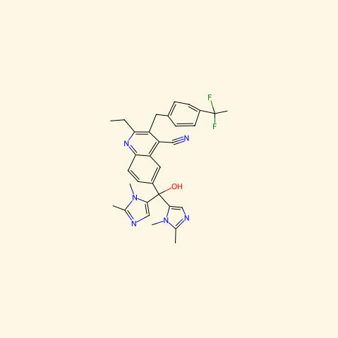 CCc1nc2ccc(C(O)(c3cnc(C)n3C)c3cnc(C)n3C)cc2c(C#N)c1Cc1ccc(C(C)(F)F)cc1